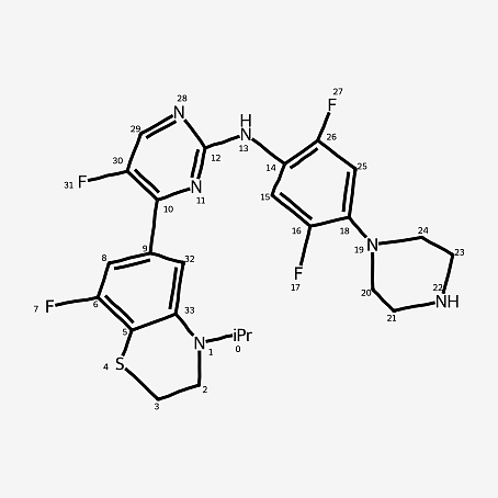 CC(C)N1CCSc2c(F)cc(-c3nc(Nc4cc(F)c(N5CCNCC5)cc4F)ncc3F)cc21